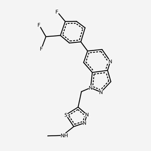 CNc1nnc(Cn2ncc3ncc(-c4ccc(F)c(C(F)F)c4)cc32)s1